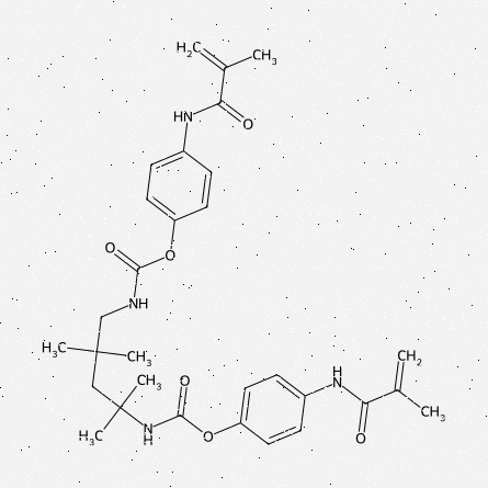 C=C(C)C(=O)Nc1ccc(OC(=O)NCC(C)(C)CC(C)(C)NC(=O)Oc2ccc(NC(=O)C(=C)C)cc2)cc1